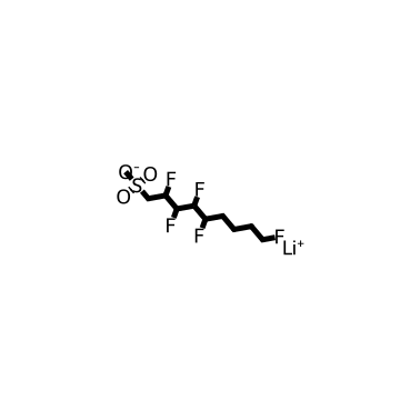 O=S(=O)([O-])CC(F)C(F)C(F)C(F)CCCCF.[Li+]